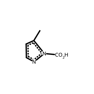 Cc1ccnn1C(=O)O